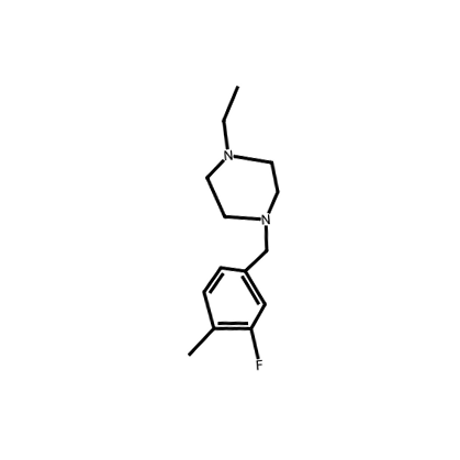 CCN1CCN(Cc2ccc(C)c(F)c2)CC1